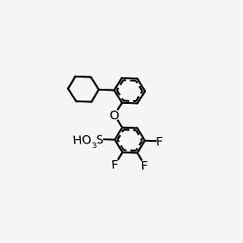 O=S(=O)(O)c1c(Oc2ccccc2C2CCCCC2)cc(F)c(F)c1F